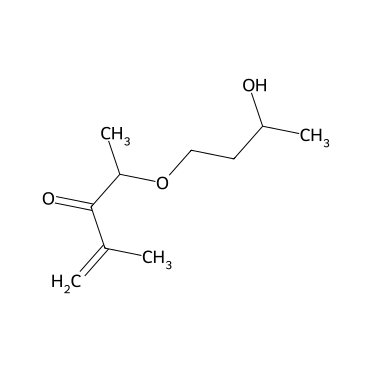 C=C(C)C(=O)C(C)OCCC(C)O